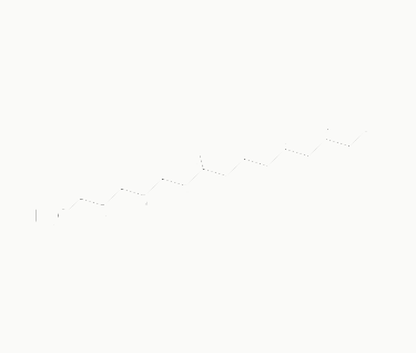 CCCCCCCC(I)CCCCCCCI